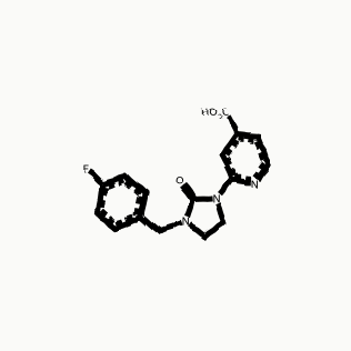 O=C(O)c1ccnc(N2CCN(Cc3ccc(F)cc3)C2=O)c1